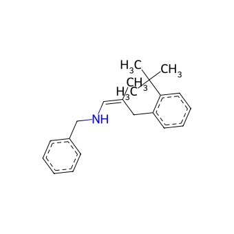 CC(=CNCc1ccccc1)Cc1ccccc1C(C)(C)C